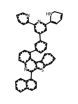 C1=CCNC(c2cc(-c3cccc(-c4cccc5nc(-c6cccc7ccccc67)c6sc7ccccc7c6c45)c3)cc(-c3ccccn3)n2)=C1